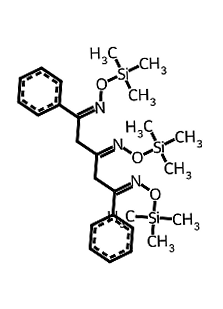 C[Si](C)(C)ON=C(CC(=NO[Si](C)(C)C)c1ccccc1)CC(=NO[Si](C)(C)C)c1ccccc1